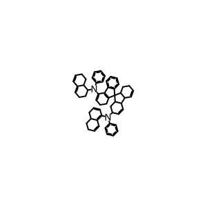 C1=CC2=C(N(c3ccccc3)C3C=CC4C5C=CCCC5C5(C6=C(C(N(c7ccccc7)C7CCC=C8C=CCCC87)=CCC6)c6ccccc65)C4C3)C=CCC2CC1